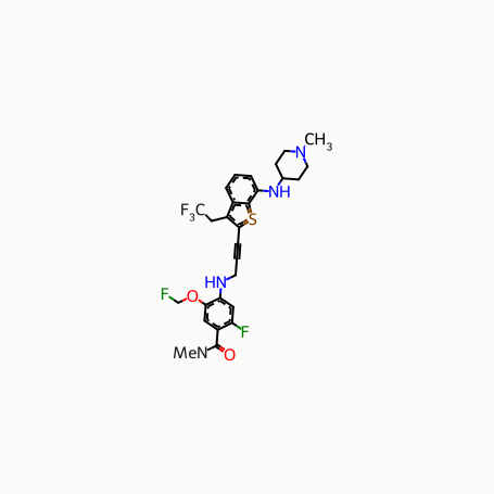 CNC(=O)c1cc(OCF)c(NCC#Cc2sc3c(NC4CCN(C)CC4)cccc3c2CC(F)(F)F)cc1F